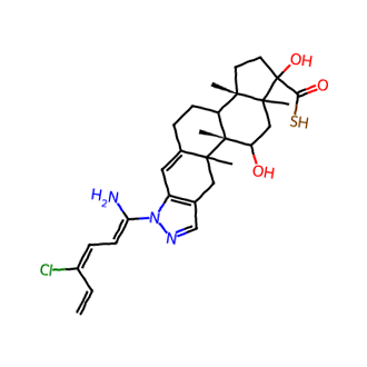 C=C/C(Cl)=C\C=C(/N)n1ncc2c1C=C1CCC3[C@](C)(C(O)CC4(C)C(O)(C(=O)S)CC[C@@]34C)C1(C)C2